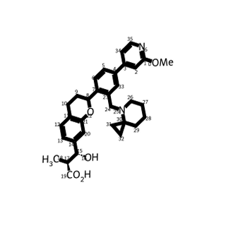 COc1cc(-c2ccc(C3CCc4ccc([C@H](O)[C@H](C)C(=O)O)cc4O3)c(CN3CCCCC34CC4)c2)ccn1